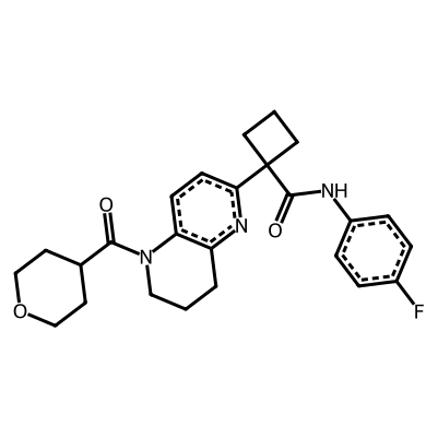 O=C(C1CCOCC1)N1CCCc2nc(C3(C(=O)Nc4ccc(F)cc4)CCC3)ccc21